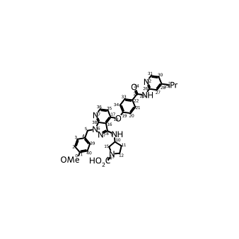 COc1ccc(Cn2nc(NC3CCN(C(=O)O)C3)c3c(Oc4ccc(C(=O)Nc5cc(C(C)C)ccn5)cc4)ccnc32)cc1